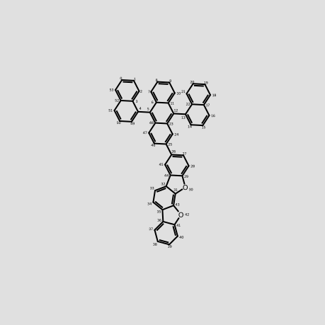 c1ccc2c(-c3c4ccccc4c(-c4cccc5ccccc45)c4cc(-c5ccc6oc7c(ccc8c9ccccc9oc87)c6c5)ccc34)cccc2c1